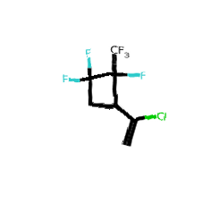 C=C(Cl)C1CC(F)(F)C1(F)C(F)(F)F